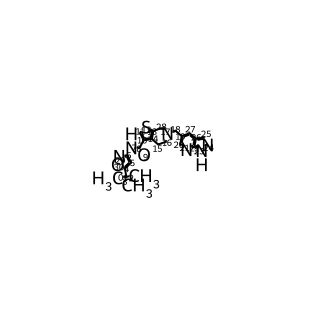 CC(C)(C)c1cc(NC(=O)c2csc3c2CCN(Cc2cnc4[nH]ncc4c2)C3)no1